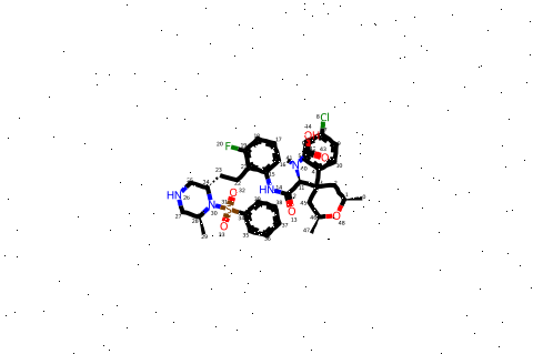 C[C@@H]1CC(c2ccc(Cl)cc2)([C@@H](C(=O)Nc2cccc(F)c2CC[C@H]2CNC[C@H](C)N2S(=O)(=O)c2ccccc2)N(C)C(=O)O)C[C@H](C)O1